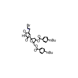 CCCCc1ccc(C(=O)OC[C@H]2O[C@@H](n3cc(/C=C/Br)c(=O)[nH]c3=O)C[C@@H]2OC(=O)c2ccc(CCCC)cc2)cc1